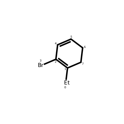 CCC1=C(Br)C=CCC1